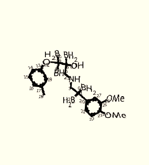 BC(B)(CNCC(B)(O)C(B)(B)Oc1cccc(C)c1)c1ccc(OC)c(OC)c1